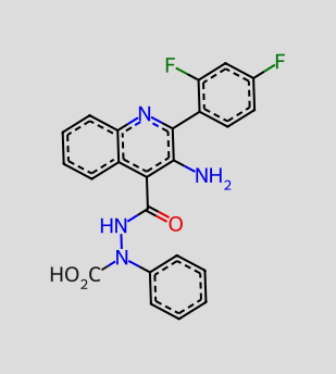 Nc1c(-c2ccc(F)cc2F)nc2ccccc2c1C(=O)NN(C(=O)O)c1ccccc1